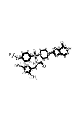 CCCc1nc(C)c(CNC(=O)[C@H]2CN(c3nc4cn[nH]c(=O)c4s3)CCN2S(=O)(=O)c2ccc(OC(F)(F)F)cc2)s1